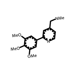 CNCc1ccnc(-c2cc(OC)c(OC)c(OC)c2)c1